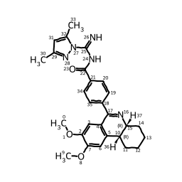 COc1cc2c(cc1OC)[C@H]1CCCC[C@H]1N=C2c1ccc(C(=O)NC(=N)n2nc(C)cc2C)cc1